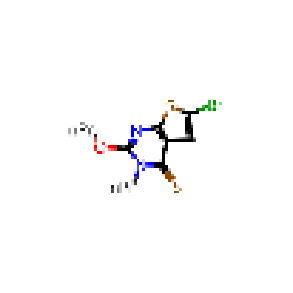 CCCOc1nc2sc(Br)cc2c(=S)n1CCC